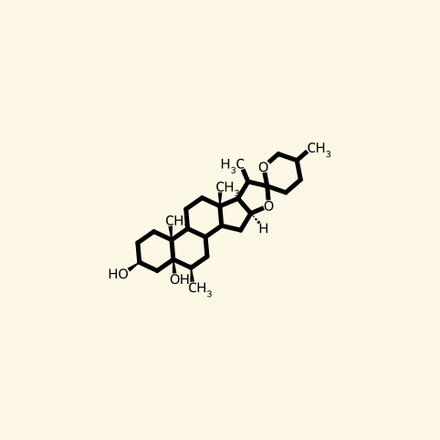 CC1CCC2(OC1)O[C@H]1CC3C4C[C@@H](C)[C@]5(O)C[C@@H](O)CC[C@]5(C)C4CC[C@]3(C)C1C2C